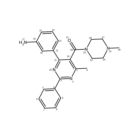 Cc1nc(-c2ccccc2)nc(-c2cccc(N)c2)c1C(=O)N1CCN(C)CC1